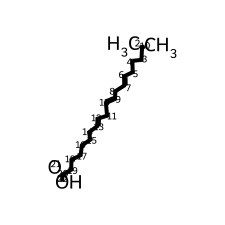 CC(C)CCCC=CCC=CCC=CCCCCCCC(=O)O